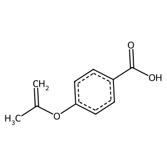 C=C(C)Oc1ccc(C(=O)O)cc1